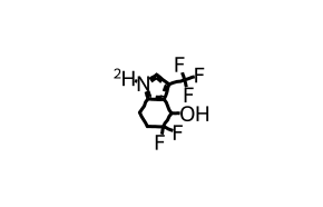 [2H]n1cc(C(F)(F)F)c2c1CCC(F)(F)C2O